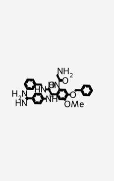 COc1cc([C@H](Nc2ccc(C(=N)N)cc2)C(=O)NCc2ccccc2)c(NC(=O)CN)cc1OCc1ccccc1